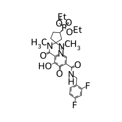 CCOP(=O)(OCC)[C@@H]1CCC2(C1)N(C)C(=O)c1c(O)c(=O)c(C(=O)NCc3ccc(F)cc3F)cn1N2C